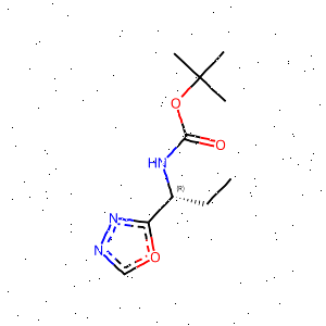 CC[C@@H](NC(=O)OC(C)(C)C)c1nnco1